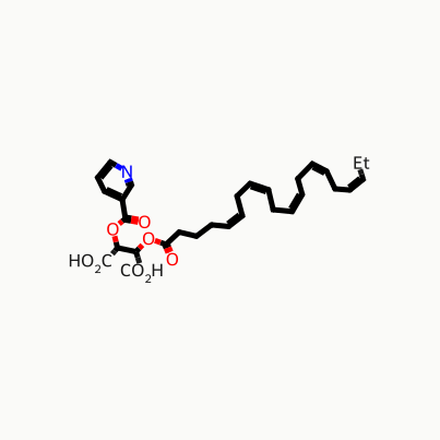 CC/C=C\C/C=C\C/C=C\C/C=C\C/C=C\CCCC(=O)OC(C(=O)O)C(OC(=O)c1cccnc1)C(=O)O